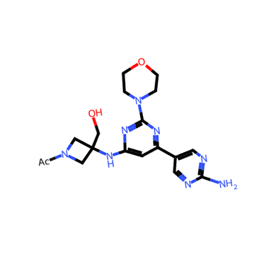 CC(=O)N1CC(CO)(Nc2cc(-c3cnc(N)nc3)nc(N3CCOCC3)n2)C1